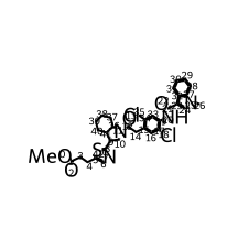 COC(=O)CCc1cnc(C2CN(C(=O)Cc3cc(Cl)c(NC(=O)c4cn(C)c5ccccc45)cc3Cl)C3CCCCC23)s1